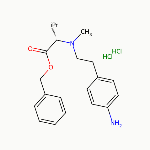 CC(C)[C@@H](C(=O)OCc1ccccc1)N(C)CCc1ccc(N)cc1.Cl.Cl